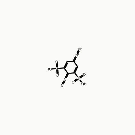 [N-]=[N+]=C1C=C(S(=O)(=O)O)C(=[N+]=[N-])C(S(=O)(=O)O)=C1